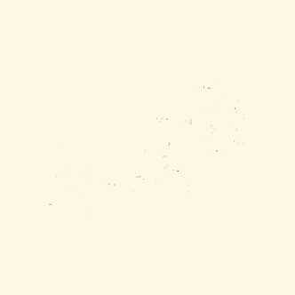 CONC(CC[C@@H]1CCN(CC#Cc2cc(F)cc(F)c2F)C[C@@H]1CO)c1ccnc2ccc(OC)cc12